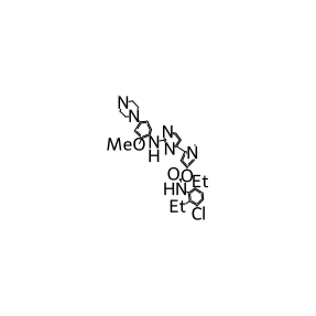 CCc1ccc(Cl)c(CC)c1NC(=O)Oc1cc(-c2ccnc(Nc3ccc(N4CCN(C)CC4)cc3OC)n2)n(C)c1